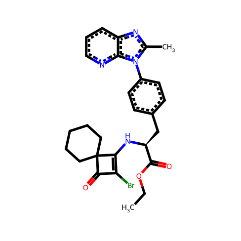 CCOC(=O)[C@H](Cc1ccc(-n2c(C)nc3cccnc32)cc1)NC1=C(Br)C(=O)C12CCCCC2